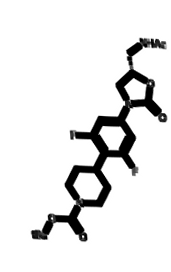 CC(=O)NC[C@H]1CN(c2cc(F)c(C3CCN(C(=O)OC(C)(C)C)CC3)c(F)c2)C(=O)O1